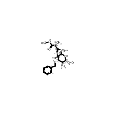 C[C@H]1[C@H](OCc2ccccc2)[C@H]2N=C(N(C)C(=O)OC(C)(C)C)S[C@H]2O[C@@H]1C=O